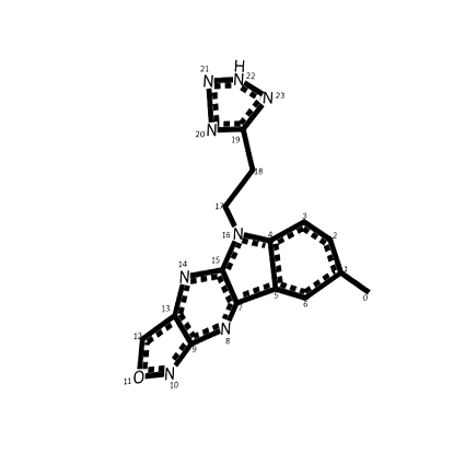 Cc1ccc2c(c1)c1nc3nocc3nc1n2CCc1nn[nH]n1